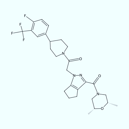 C[C@@H]1CN(C(=O)c2nn(CC(=O)N3CCC(c4ccc(F)c(C(F)(F)F)c4)CC3)c3c2CCC3)C[C@H](C)O1